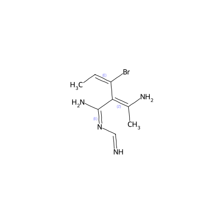 C\C=C(Br)/C(=C(/C)N)C(/N)=N\C=N